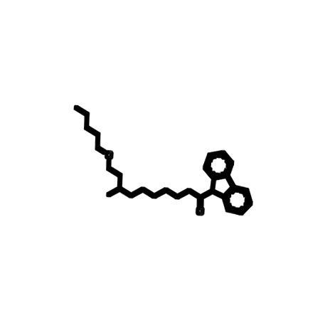 CCCCCOCCC(C)CCCCCCC(=O)C1c2ccccc2-c2ccccc21